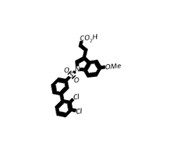 COc1ccc2c(c1)c(CCC(=O)O)cn2S(=O)(=O)c1cccc(-c2cccc(Cl)c2Cl)c1